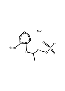 CCCCCCCCCc1ccccc1OC(C)OOS(=O)(=O)[O-].[Na+]